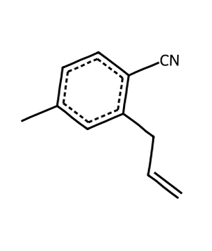 C=CCc1cc(C)ccc1C#N